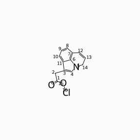 O=C(Cc1cn2c3c(cccc13)C=CC2)OCl